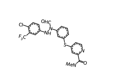 CNC(=O)c1cc(Sc2cccc(N(C=O)Nc3ccc(Cl)c(C(F)(F)F)c3)c2)ccn1